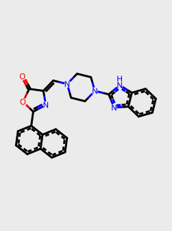 O=C1OC(c2cccc3ccccc23)=NC1=CN1CCN(c2nc3ccccc3[nH]2)CC1